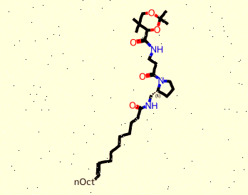 CCCCCCCCC=CCCCCCCCC(=O)NC[C@H]1CCCN1C(=O)CCNC(=O)C1OC(C)(C)OCC1(C)C